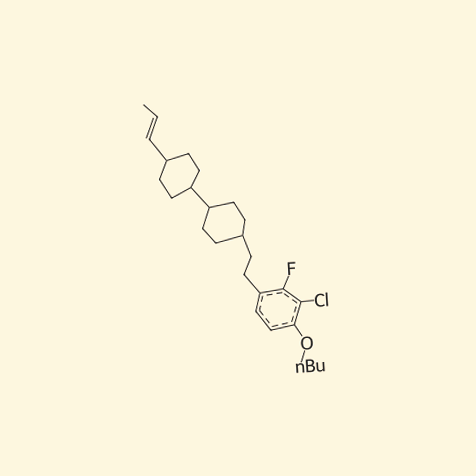 C/C=C/C1CCC(C2CCC(CCc3ccc(OCCCC)c(Cl)c3F)CC2)CC1